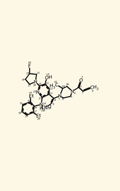 C=CC(=O)N1CCN(/C(=C/C)c2cc(O)c(N3CCC(F)C3)nc2N(C=O)c2c(CC)cccc2CC)C(C)C1